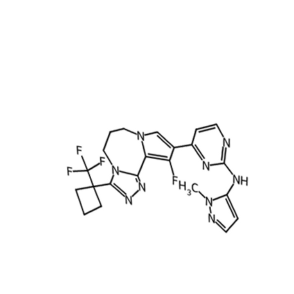 Cn1nccc1Nc1nccc(-c2cn3c(c2F)-c2nnc(C4(C(F)(F)F)CCC4)n2CCC3)n1